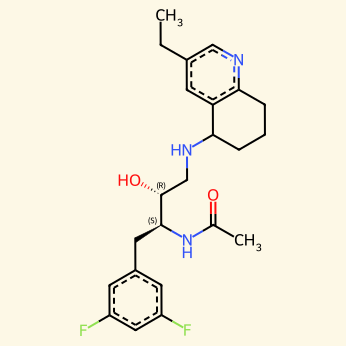 CCc1cnc2c(c1)C(NC[C@@H](O)[C@H](Cc1cc(F)cc(F)c1)NC(C)=O)CCC2